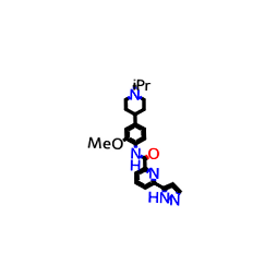 COc1cc(C2CCN(C(C)C)CC2)ccc1NC(=O)c1cccc(-c2ccn[nH]2)n1